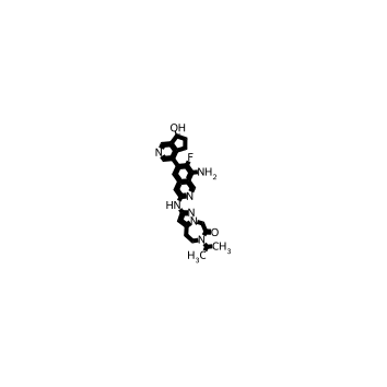 CC(C)N1CCc2cc(Nc3cc4cc(-c5cncc6c5CC[C@H]6O)c(F)c(N)c4cn3)nn2CC1=O